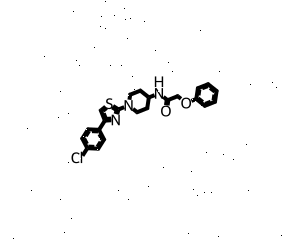 O=C(COc1ccccc1)NC1CCN(c2nc(-c3ccc(Cl)cc3)cs2)CC1